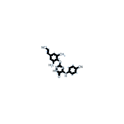 Cc1cc(/C=C/C#N)cc(C)c1Oc1n[nH]c(=O)c(Nc2ccc(C#N)cc2)n1